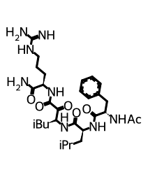 CC[C@H](C)C(NC(=O)[C@H](CC(C)C)NC(=O)[C@H](Cc1ccccc1)NC(C)=O)C(=O)C(=O)N[C@H](CCCNC(=N)N)C(N)=O